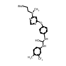 CNCCN(C)c1cc(Oc2ccc(NC(O)Nc3ccc(C)c(C(F)(F)F)c3)cc2)ncn1